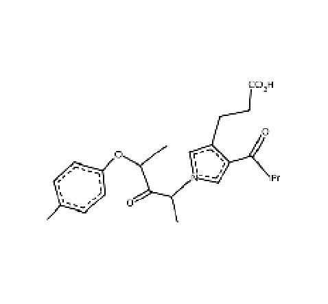 Cc1ccc(OC(C)C(=O)C(C)n2cc(CCC(=O)O)c(C(=O)C(C)C)c2)cc1